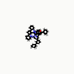 c1ccc(-c2cccc(-c3cc(-c4cccc(-c5ccccc5)c4)nc(-n4c5ccccc5c5ccc6c7ccccc7n7c8ccccc8cc7c6c54)c3)c2)cc1